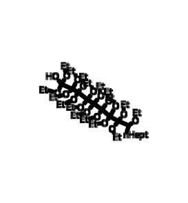 CCCCCCCC(OCC)C(OCC)(OCC)C(OCC)(OCC)C(OCC)(OCC)C(OCC)(OCC)C(OCC)(OCC)C(OCC)(OCC)C(OCC)(OCC)C(O)(OCC)OCC